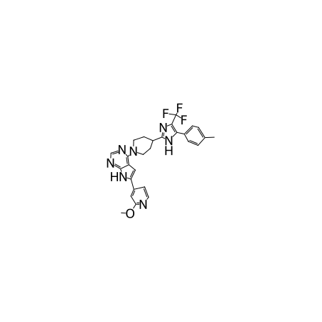 COc1cc(-c2cc3c(N4CCC(c5nc(C(F)(F)F)c(-c6ccc(C)cc6)[nH]5)CC4)ncnc3[nH]2)ccn1